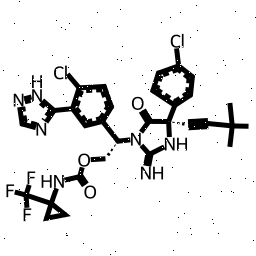 CC(C)(C)C#C[C@]1(c2ccc(Cl)cc2)NC(=N)N([C@H](COC(=O)NC2(C(F)(F)F)CC2)c2ccc(Cl)c(-c3ncn[nH]3)c2)C1=O